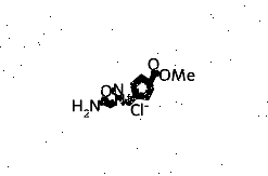 COC(=O)c1ccc(C[n+]2cc(N)on2)cc1.[Cl-]